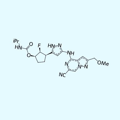 COCc1cc2c(Nc3cc([C@H]4CC[C@@H](OC(=O)NC(C)C)[C@H]4F)[nH]n3)nc(C#N)cn2n1